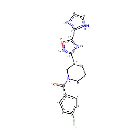 O=C(c1ccc(F)cc1)N1CCCC(c2noc(-c3ncc[nH]3)n2)C1